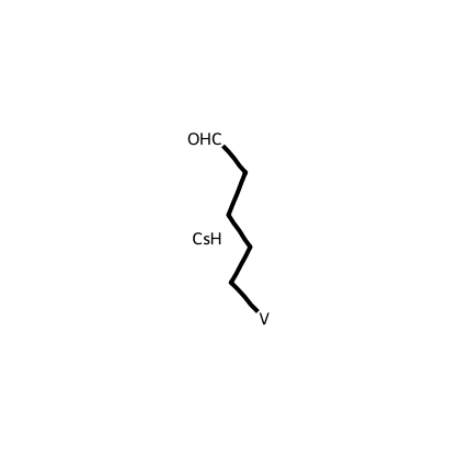 O=CCCC[CH2][V].[CsH]